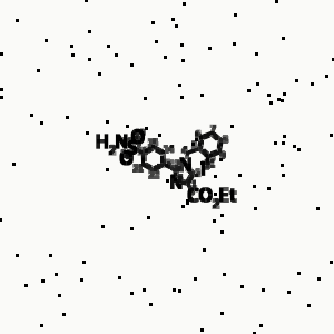 CCOC(=O)c1cn(Cc2ccccc2F)c(-c2ccc(S(N)(=O)=O)cc2)n1